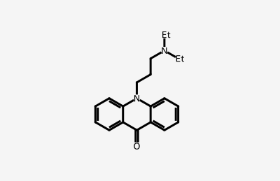 CCN(CC)CCCn1c2ccccc2c(=O)c2ccccc21